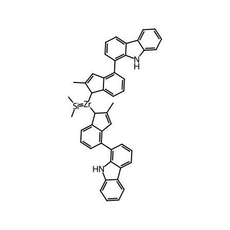 CC1=Cc2c(-c3cccc4c3[nH]c3ccccc34)cccc2[CH]1[Zr]([CH]1C(C)=Cc2c(-c3cccc4c3[nH]c3ccccc34)cccc21)=[Si](C)C